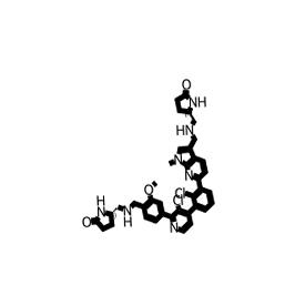 COc1cc(-c2nccc(-c3cccc(-c4ccc5c(CNC[C@H]6CCC(=O)N6)cn(C)c5n4)c3Cl)c2Cl)ccc1CNC[C@@H]1CCC(=O)N1